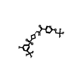 O=C(NC[C@H]1C[C@H](S(=O)(=O)c2cc(F)cc(C(F)(F)F)c2)C1)c1ccc(OCC(F)(F)F)nc1